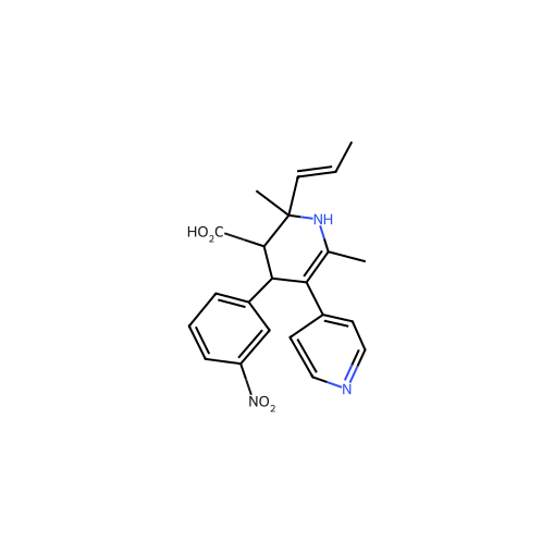 CC=CC1(C)NC(C)=C(c2ccncc2)C(c2cccc([N+](=O)[O-])c2)C1C(=O)O